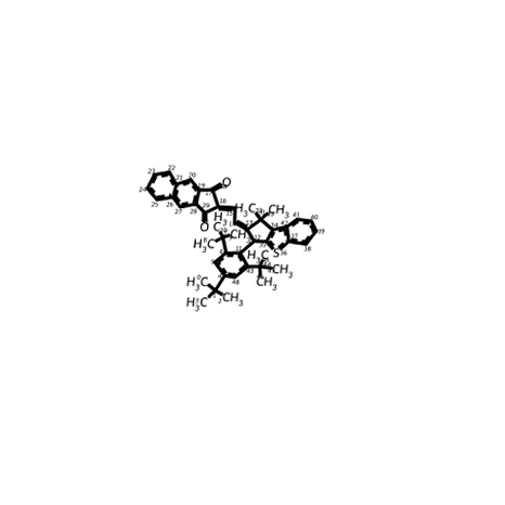 CC(C)(C)c1cc(C(C)(C)C)c(C2/C(=C/C=C3C(=O)c4cc5ccccc5cc4C3=O)C(C)(C)c3c2sc2ccccc32)c(C(C)(C)C)c1